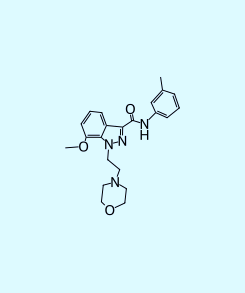 COc1cccc2c(C(=O)Nc3cccc(C)c3)nn(CCN3CCOCC3)c12